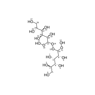 OC[C@@H](O)[C@@H](O)[C@H](O)[C@@H](O)C(OO)OOC(OO)[C@H](O)[C@@H](O)[C@H](O)[C@H](O)CO